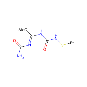 CCSNC(=O)NC(=NC(N)=O)OC